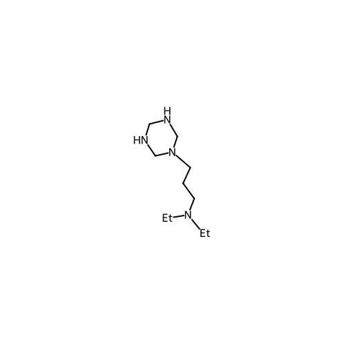 CCN(CC)CCCN1CNCNC1